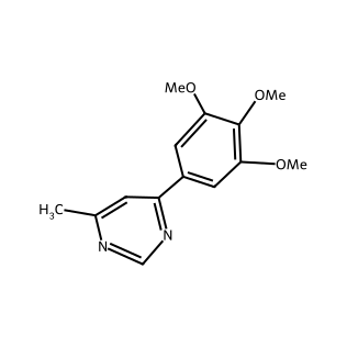 COc1cc(-c2cc(C)ncn2)cc(OC)c1OC